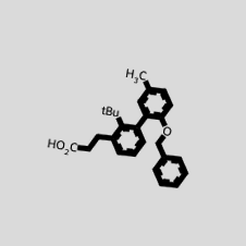 Cc1ccc(OCc2ccccc2)c(-c2cccc(CCC(=O)O)c2C(C)(C)C)c1